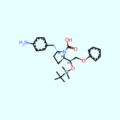 CC(C)(C)[Si](C)(C)O[C@H](COc1ccccc1)[C@H]1CC[C@H](Cc2ccc(N)cc2)N1C(=O)O